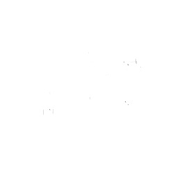 N#CC(C(N)=O)C1CCNCC1